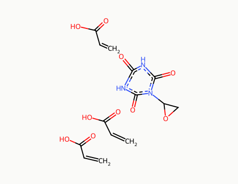 C=CC(=O)O.C=CC(=O)O.C=CC(=O)O.O=c1[nH]c(=O)n(C2CO2)c(=O)[nH]1